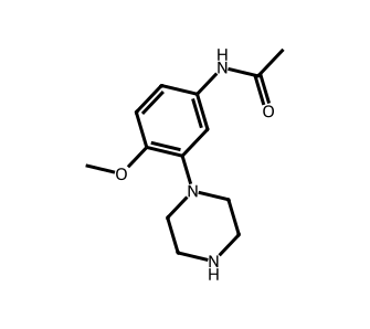 COc1ccc(NC(C)=O)cc1N1CCNCC1